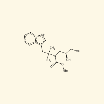 CC(C)(C)OC(=O)N(C[C@H](O)CO)C(C)(C)Cc1c[nH]c2ccccc12